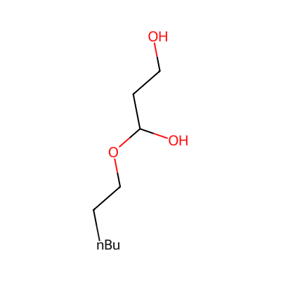 CCCCCCOC(O)CCO